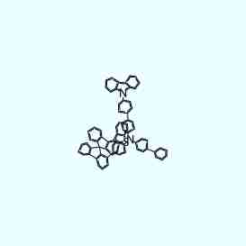 c1ccc(-c2ccc(N(c3ccc(-c4ccc(-n5c6ccccc6c6ccccc65)cc4)cc3)c3ccc(-c4cccc5c4C4(c6ccccc6-5)c5ccccc5-c5c4ccc4sc6ccccc6c54)cc3)cc2)cc1